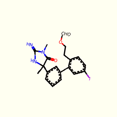 CN1C(=N)NC(C)(c2cccc(-c3cc(I)ccc3CCOC=O)c2)C1=O